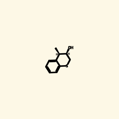 C[C@@H]1c2ccccc2SC[C@@H]1O